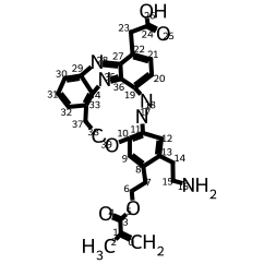 C=C(C)C(=O)OCCc1cc2c(cc1CCN)/N=N/c1ccc(CC(=O)O)c3nc4cccc(c4nc13)CCO2